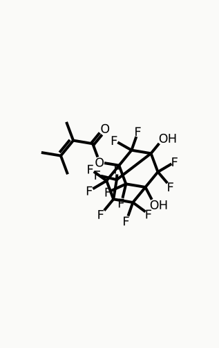 CC(C)=C(C)C(=O)OC12C(F)(F)C3(O)C(F)(F)C(O)(C(F)(F)C(F)(C3(F)F)C1(F)F)C2(F)F